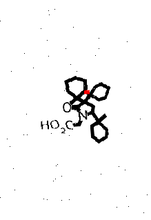 CC1(C2CC(C3(C)CCCCC3)(C3(C)CCCCC3)C(=O)N2CC(=O)O)CCCCC1